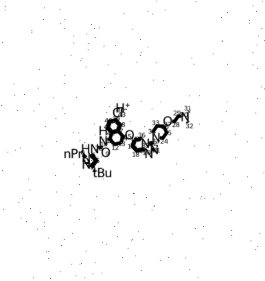 CCCn1nc(C(C)(C)C)cc1NC(=O)N[C@H]1CC[C@@H](Oc2ccc3nnc(N4CCC(OCCN(C)C)CC4)n3c2)c2ccccc21.[Cl-].[H+]